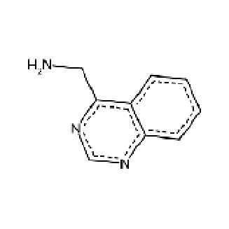 NCc1ncnc2ccccc12